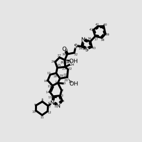 CC12Cc3cnn(C4CCCCC4)c3C=C1CCC1C2[C@@H](O)CC2(C)C1CC[C@]2(O)C(=O)CSc1nc(-c2ccccc2)cs1